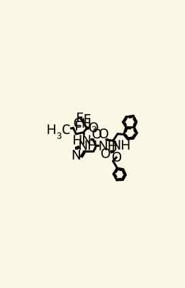 CC(C)CC(NC(=O)C(Cc1cnc[nH]1)NC(=O)C(Cc1cccc2ccccc12)NC(=O)OCc1ccccc1)C(=O)C(F)(F)F